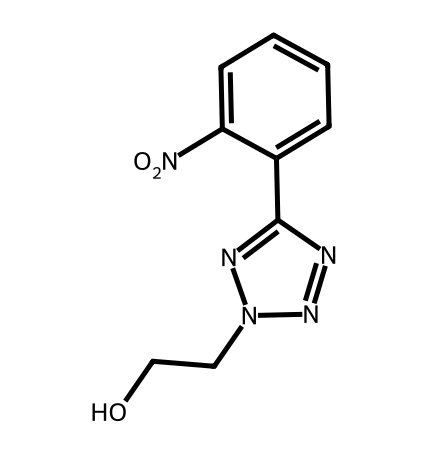 O=[N+]([O-])c1ccccc1-c1nnn(CCO)n1